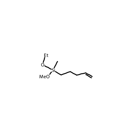 C=CCCC[Si](C)(OC)OCC